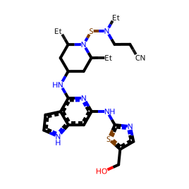 CCC1CC(Nc2nc(Nc3ncc(CO)s3)cc3[nH]ccc23)CC(CC)N1SN(CC)CCC#N